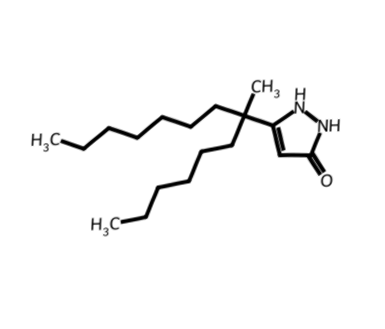 CCCCCCCC(C)(CCCCCC)c1cc(=O)[nH][nH]1